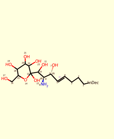 CCCCCCCCCCCCC/C=C/[C@@H](O)[C@@H](N)C(O)C1(O)OC(CO)C(O)C(O)C1O